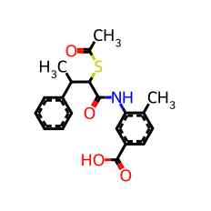 CC(=O)SC(C(=O)Nc1cc(C(=O)O)ccc1C)C(C)c1ccccc1